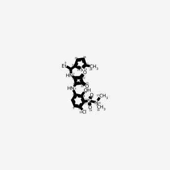 CCC(Nc1c(Nc2ccc(Cl)c(S(=O)(=O)N(C)C)c2O)c(=O)c1=O)c1ccc(C)s1